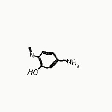 C=Nc1ccc(N)cc1O